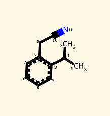 CC(C)c1ccccc1CC#N